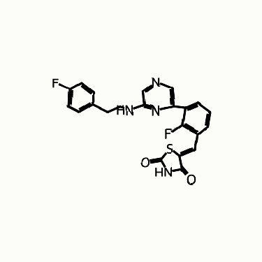 O=C1NC(=O)C(=Cc2cccc(-c3cncc(NCCc4ccc(F)cc4)n3)c2F)S1